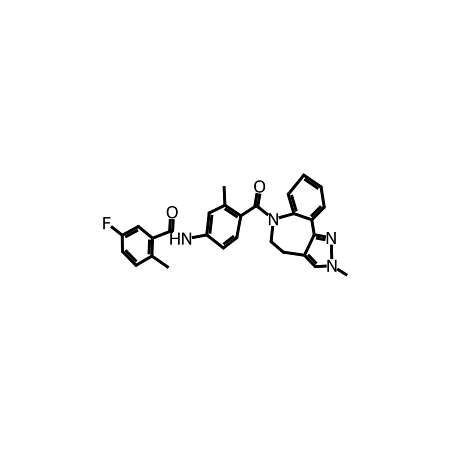 Cc1ccc(F)cc1C(=O)Nc1ccc(C(=O)N2CCc3cn(C)nc3-c3ccccc32)c(C)c1